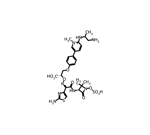 CC(CN)Nc1ccc(-c2ccc(OC[C@H](O/N=C(\C(=O)N[C@@H]3C(=O)N(OS(=O)(=O)O)C3(C)C)c3csc(N)n3)C(=O)O)cc2)c[n+]1C